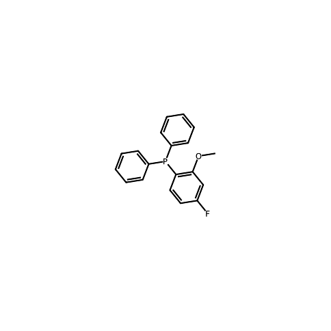 COc1cc(F)ccc1P(c1ccccc1)c1ccccc1